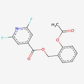 CC(=O)Oc1ccccc1COC(=O)c1cc(F)nc(F)c1